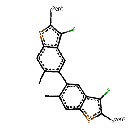 CCCCCc1sc2cc(C)c(-c3cc4c(F)c(CCCCC)sc4cc3C)cc2c1F